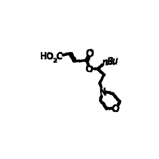 CCCCC(CCN1CCOCC1)OC(=O)C=CC(=O)O